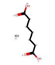 O=C(O)CCCCCC(=O)O.[KH]